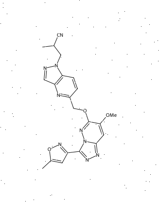 COc1cc2nnc(-c3cc(C)on3)n2nc1OCc1ccc2c(cnn2CC(C)C#N)n1